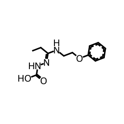 CCC(=NNC(=O)O)NCCOc1ccccc1